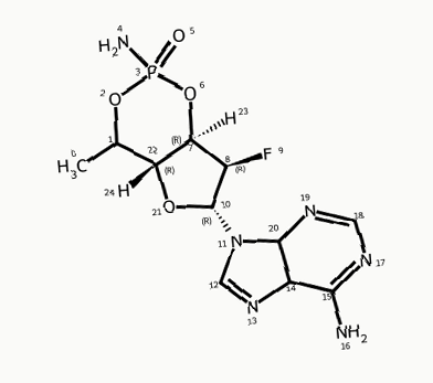 CC1OP(N)(=O)O[C@H]2[C@@H](F)[C@H](N3C=NC4C(N)=NC=NC43)O[C@H]12